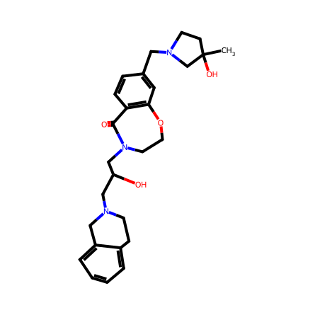 CC1(O)CCN(Cc2ccc3c(c2)OCCN(CC(O)CN2CCc4ccccc4C2)C3=O)C1